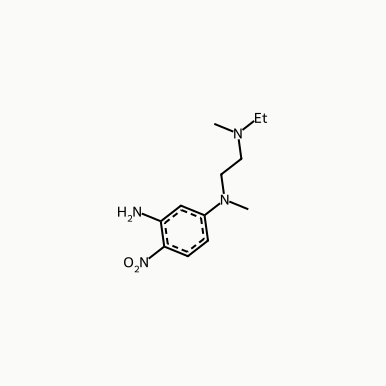 CCN(C)CCN(C)c1ccc([N+](=O)[O-])c(N)c1